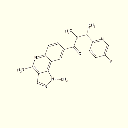 C[C@H](c1ccc(F)cn1)N(C)C(=O)c1ccc2nc(N)c3cnn(C)c3c2c1